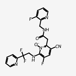 N#Cc1cc(F)c(NCC(F)(F)c2ccccn2)[n+]([O-])c1CC(=O)NCc1ncccc1F